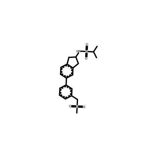 CC(C)S(=O)(=O)NC1Cc2ccc(-c3cccc(CS(C)(=O)=O)c3)cc2C1